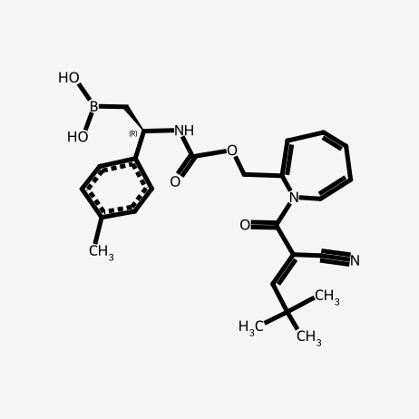 Cc1ccc([C@@H](CB(O)O)NC(=O)OCC2=CC=CC=CN2C(=O)C(C#N)=CC(C)(C)C)cc1